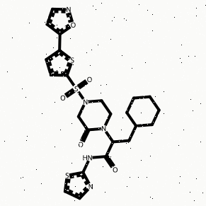 O=C(Nc1nccs1)C(CC1CCCCC1)N1CCN(S(=O)(=O)c2ccc(-c3ccno3)s2)CC1=O